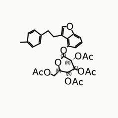 CC(=O)OC[C@H]1O[C@@H](Oc2cccc3occ(CCc4ccc(C)cc4)c23)[C@H](OC(C)=O)[C@@H](OC(C)=O)[C@@H]1OC(C)=O